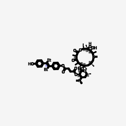 CC/C(=C(/CC)c1ccc(OC(=O)CCC(=O)O[C@@H]2C(N(C)C)C[C@@H](C)O[C@H]2O[C@@H]2[C@@H](C)C(=O)[C@@H](C)C(=O)O[C@H](I)[C@@](C)(O)[C@H](O)[C@@H](C)N(C)C[C@H](C)C[C@@]2(C)O)cc1)c1ccc(O)cc1